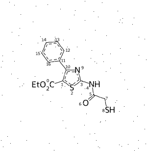 CCOC(=O)c1sc(NC(=O)CS)nc1-c1ccccc1